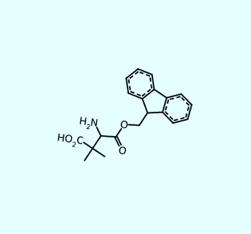 CC(C)(C(=O)O)C(N)C(=O)OCC1c2ccccc2-c2ccccc21